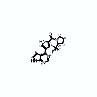 O=C(c1cc(-c2ncnc3[nH]ccc23)c[nH]1)N1CCCC1C(F)(F)F